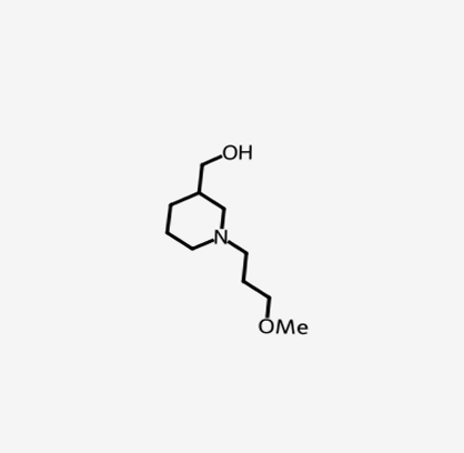 COCCCN1CCCC(CO)C1